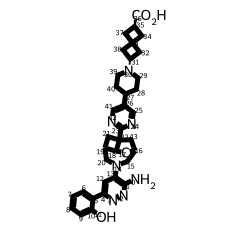 Nc1nnc(-c2ccccc2O)cc1N1CC2CC3C(C1)CC3(c1ncc(C3CCN([C@H]4CC5(C[C@H](C(=O)O)C5)C4)CC3)cn1)C2